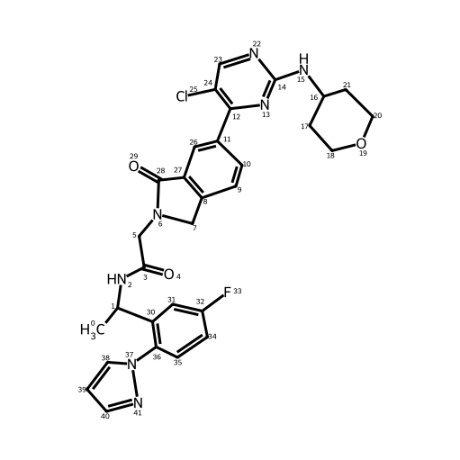 CC(NC(=O)CN1Cc2ccc(-c3nc(NC4CCOCC4)ncc3Cl)cc2C1=O)c1cc(F)ccc1-n1cccn1